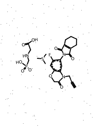 C#CCN1C(=O)COc2cc(F)c(N3C(=O)C4=C(CCCC4)C3=O)cc21.C[S+](C)C.O=C(O)CNCP(=O)([O-])O